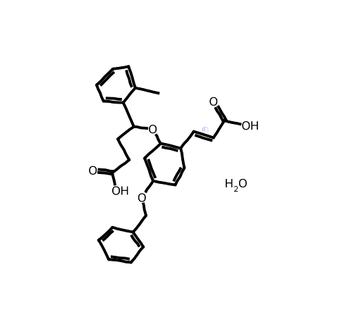 Cc1ccccc1C(CCC(=O)O)Oc1cc(OCc2ccccc2)ccc1/C=C/C(=O)O.O